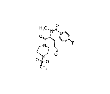 CN(C(=O)c1ccc(F)cc1)[C@@H](CCC=O)C(=O)N1CCN(S(C)(=O)=O)CC1